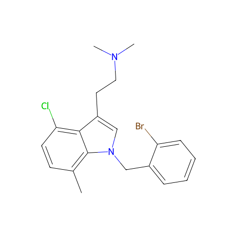 Cc1ccc(Cl)c2c(CCN(C)C)cn(Cc3ccccc3Br)c12